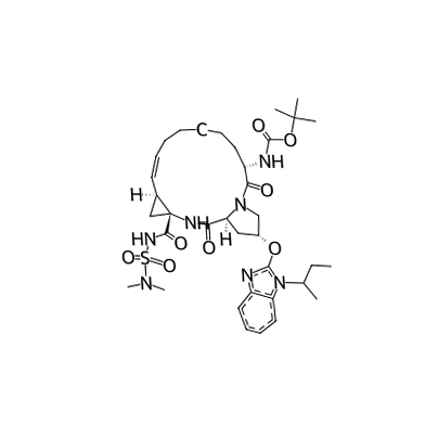 CCC(C)n1c(O[C@@H]2C[C@H]3C(=O)N[C@]4(C(=O)NS(=O)(=O)N(C)C)C[C@H]4/C=C\CCCCC[C@H](NC(=O)OC(C)(C)C)C(=O)N3C2)nc2ccccc21